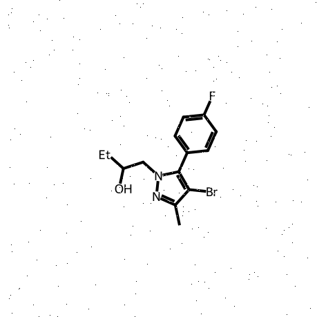 CCC(O)Cn1nc(C)c(Br)c1-c1ccc(F)cc1